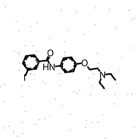 CCN(CC)CCOc1ccc(NC(=O)c2cccc(I)c2)cc1